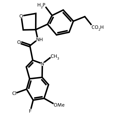 COc1cc2c(cc(C(=O)NC3(c4ccc(CC(=O)O)cc4P)COC3)n2C)c(Cl)c1F